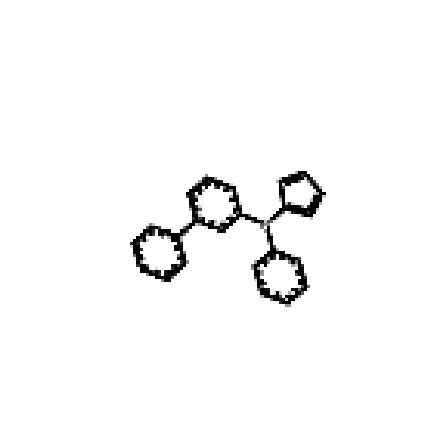 C1=CC=CC=1N(c1ccccc1)c1cccc(-c2ccccc2)c1